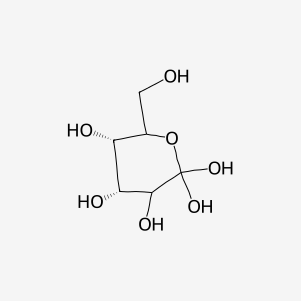 OCC1OC(O)(O)C(O)[C@H](O)[C@@H]1O